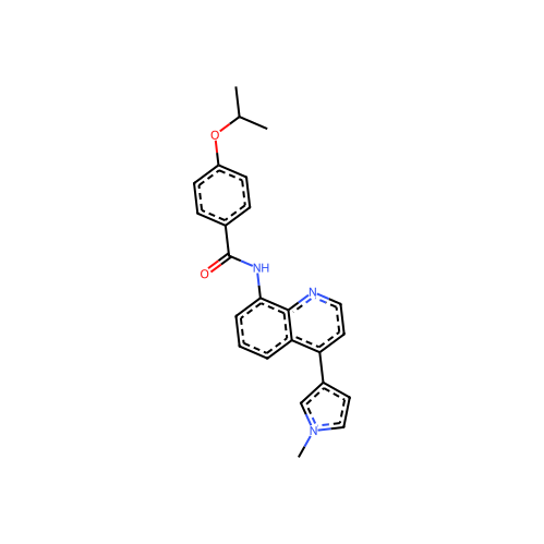 CC(C)Oc1ccc(C(=O)Nc2cccc3c(-c4ccn(C)c4)ccnc23)cc1